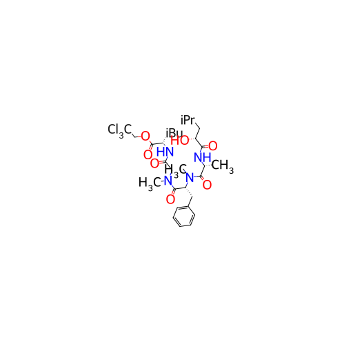 CC[C@@H](C)[C@H](NC(=O)CN(C)C(=O)[C@@H](Cc1ccccc1)N(C)C(=O)[C@@H](C)NC(=O)[C@H](O)CC(C)C)C(=O)OCC(Cl)(Cl)Cl